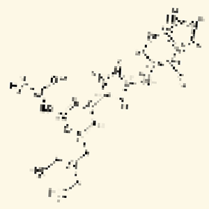 CCN(CC)Cc1cc(NC(C)=O)cc(-c2nnc(Nc3ccc4[nH]ncc4c3Cl)s2)c1